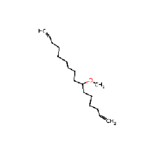 [CH]=CCCCCCCCC(CCCCC=C)OC